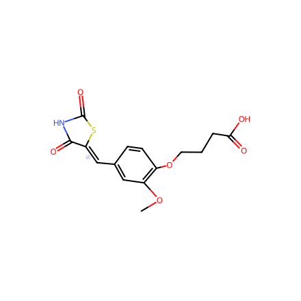 COc1cc(/C=C2\SC(=O)NC2=O)ccc1OCCCC(=O)O